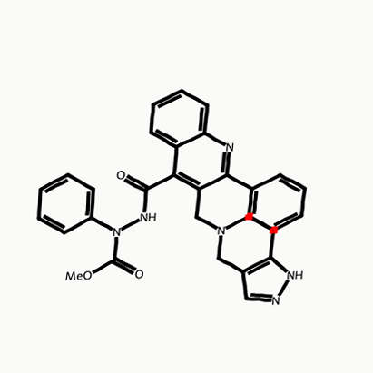 COC(=O)N(NC(=O)c1c(CN2CCc3[nH]ncc3C2)c(-c2ccccc2)nc2ccccc12)c1ccccc1